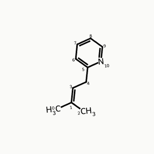 CC(C)=CCc1ccccn1